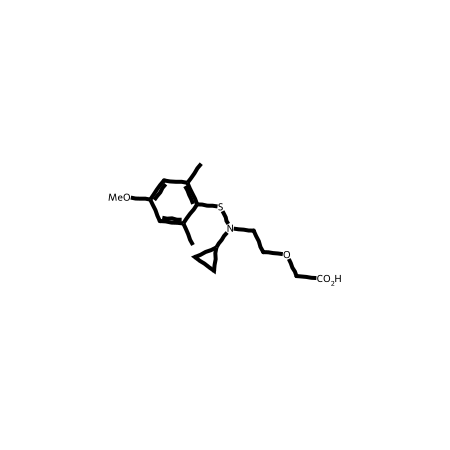 COc1cc(C)c(SN(CCOCC(=O)O)C2CC2)c(C)c1